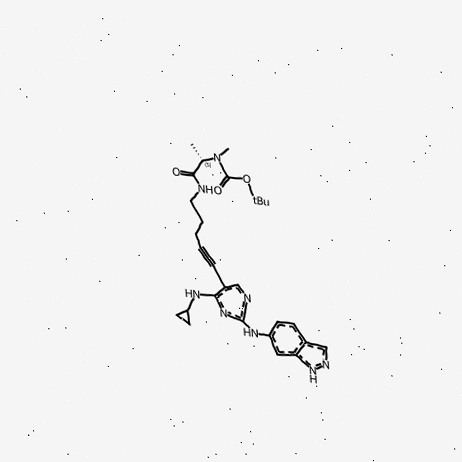 C[C@@H](C(=O)NCCCC#Cc1cnc(Nc2ccc3cn[nH]c3c2)nc1NC1CC1)N(C)C(=O)OC(C)(C)C